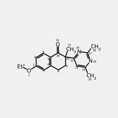 CCOc1ccc2c(c1)CCC(C)(c1cc(C)nc(C)n1)C2=O